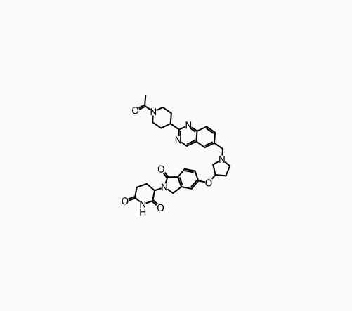 CC(=O)N1CCC(c2ncc3cc(CN4CCC(Oc5ccc6c(c5)CN(C5CCC(=O)NC5=O)C6=O)C4)ccc3n2)CC1